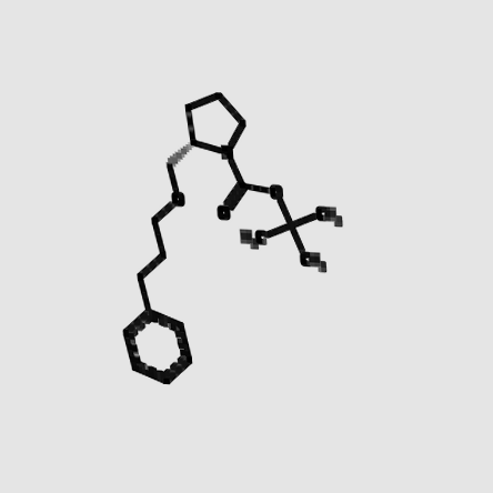 CC(C)(C)OC(=O)N1CCC[C@H]1COCCCc1ccccc1